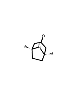 [O]C1C[C@H]2CC[C@@H](C1)N2